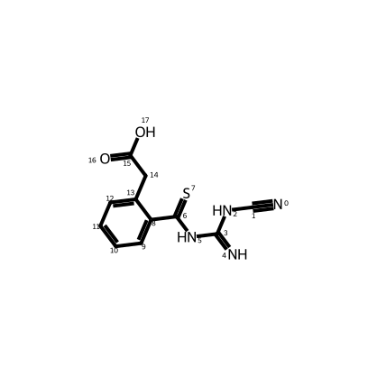 N#CNC(=N)NC(=S)c1ccccc1CC(=O)O